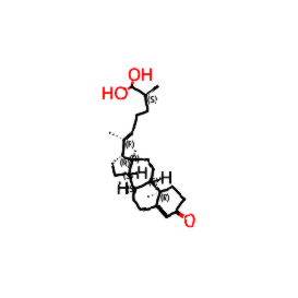 C[C@H](CCC[C@H](C)C(O)O)[C@H]1CC[C@H]2[C@@H]3CCC4=CC(=O)CC[C@]4(C)[C@H]3CC[C@]12C